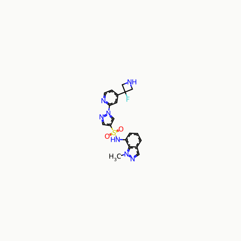 Cn1ncc2cccc(NS(=O)(=O)c3cnn(-c4cc(C5(F)CNC5)ccn4)c3)c21